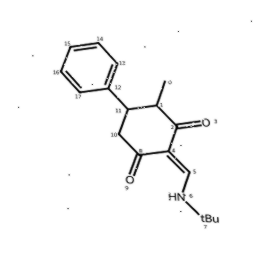 CC1C(=O)/C(=C/NC(C)(C)C)C(=O)CC1c1ccccc1